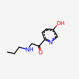 CCCNCC(=O)c1ccc(O)cn1